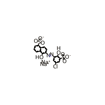 O=S(=O)([O-])c1cc(Cl)cc(/N=N/c2ccc3c(S(=O)(=O)[O-])cccc3c2O)c1O.[Na+].[Na+]